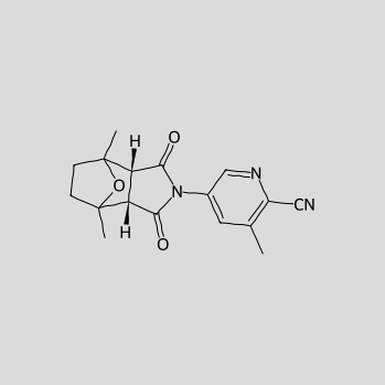 Cc1cc(N2C(=O)[C@@H]3[C@H](C2=O)C2(C)CCC3(C)O2)cnc1C#N